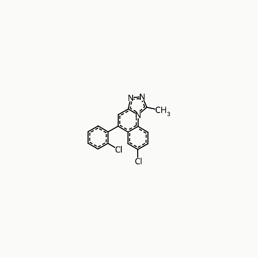 Cc1nnc2cc(-c3ccccc3Cl)c3cc(Cl)ccc3n12